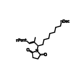 CCCCCC=C(C)C(CCCCCCCCCCCCCCCCC)N1C(=O)CCC1=O